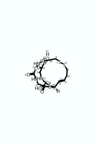 O=C1CNO[C@H]2CSSCC/C=C/[C@H](CC(O)NCC(=O)N2)OC(=O)CN1